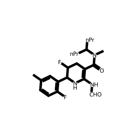 CCCC(CCC)N(C)C(=O)C1=C(NC=O)NC(c2cc(C)ccc2F)C(F)C1